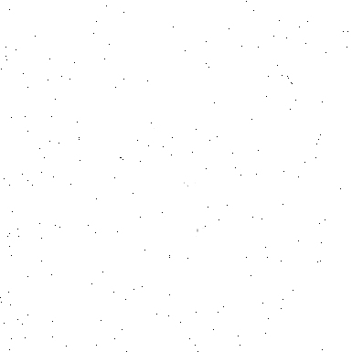 C=[C]C[N]CCCC